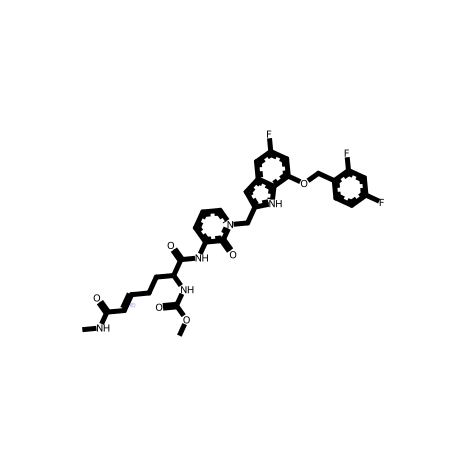 CNC(=O)/C=C/CCC(NC(=O)OC)C(=O)Nc1cccn(Cc2cc3cc(F)cc(OCc4ccc(F)cc4F)c3[nH]2)c1=O